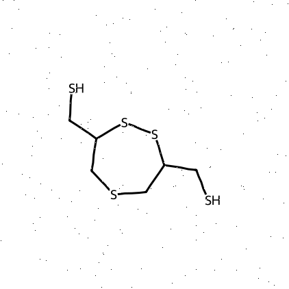 SCC1CSCC(CS)SS1